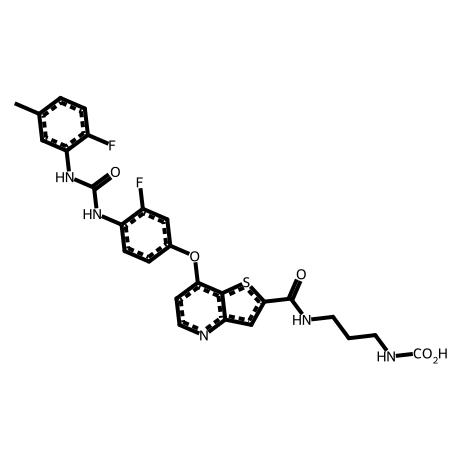 Cc1ccc(F)c(NC(=O)Nc2ccc(Oc3ccnc4cc(C(=O)NCCCNC(=O)O)sc34)cc2F)c1